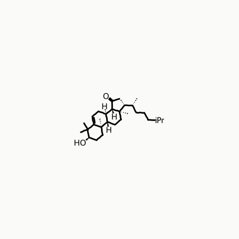 CC(C)CCC[C@@H](C)[C@H]1CC(=O)[C@H]2[C@@H]3CC=C4C(C)(C)[C@H](O)CC[C@]4(C)[C@H]3CC[C@]12C